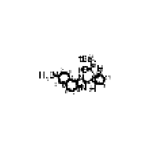 Bc1ccc2c(ccc3nc([C@@H]4[C@H]5CC[C@H](C5)N4C(=O)OC(C)(C)C)[nH]c32)c1